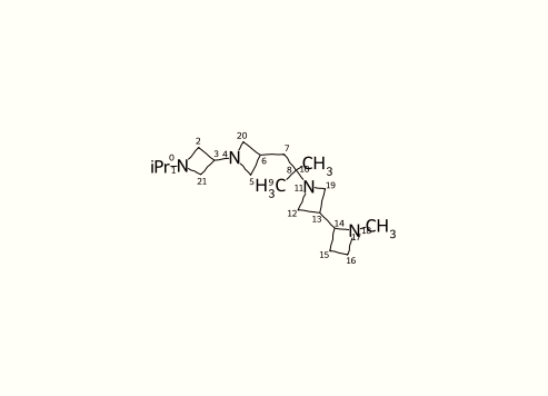 CC(C)N1CC(N2CC(CC(C)(C)N3CC(C4CCN4C)C3)C2)C1